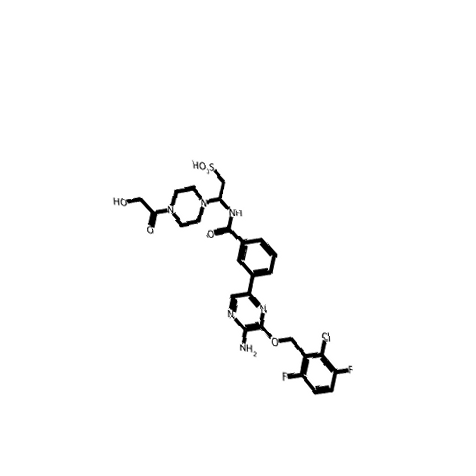 Nc1ncc(-c2cccc(C(=O)NC(CS(=O)(=O)O)N3CCN(C(=O)CO)CC3)c2)nc1OCc1c(F)ccc(F)c1Cl